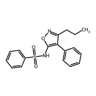 CCCc1noc(NS(=O)(=O)c2ccccc2)c1-c1ccccc1